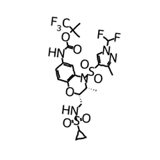 Cc1nn(C(F)F)cc1S(=O)(=O)N1c2cc(NC(=O)OC(C)(C)C(F)(F)F)ccc2O[C@@H](CNS(=O)(=O)C2CC2)[C@H]1C